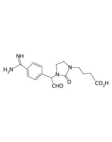 N=C(N)c1ccc(C(C=O)N2CCN(CCCC(=O)O)C2=O)cc1